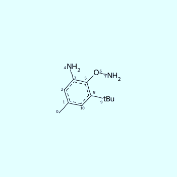 Cc1cc(N)c(ON)c(C(C)(C)C)c1